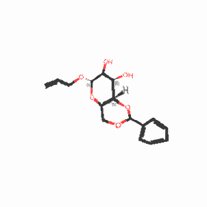 C=CCO[C@H]1OC2COC(c3ccccc3)O[C@H]2[C@H](O)C1O